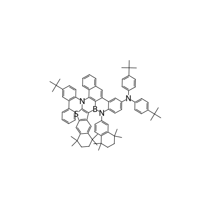 CC(C)(C)c1ccc(N(c2ccc(C(C)(C)C)cc2)c2ccc3c(c2)-c2cc4ccccc4c4c2B(c2c(sc5cc6c(cc25)C(C)(C)CCC6(C)C)N4c2ccc(C(C)(C)C)cc2-c2ccccc2)N3c2ccc3c(c2)C(C)(C)CCC3(C)C)cc1